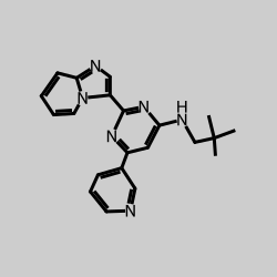 CC(C)(C)CNc1cc(-c2cccnc2)nc(-c2cnc3ccccn23)n1